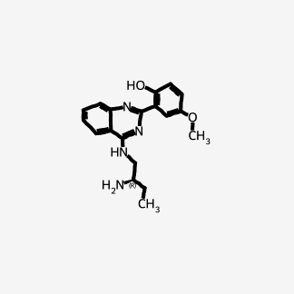 CC[C@@H](N)CNc1nc(-c2cc(OC)ccc2O)nc2ccccc12